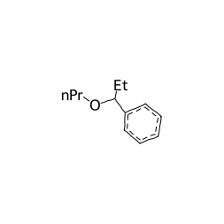 CCCOC(CC)c1ccccc1